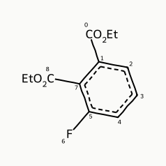 CCOC(=O)c1cccc(F)c1C(=O)OCC